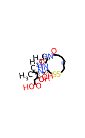 CC(C)[C@@H](NC(O)[C@H]1CSSCC/C=C/CCC(=O)N[C@H](C)C(=O)N1)[C@@H](O)CC(=O)O